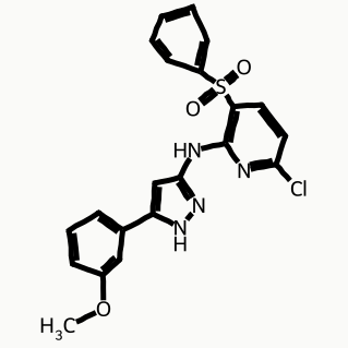 COc1cccc(-c2cc(Nc3nc(Cl)ccc3S(=O)(=O)c3ccccc3)n[nH]2)c1